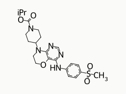 CC(C)OC(=O)N1CCC(N2CCOc3c(Nc4ccc(S(C)(=O)=O)cc4)ncnc32)CC1